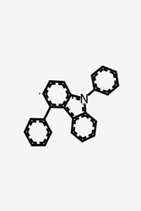 [c]1ccc2c(c1-c1ccccc1)c1ccccc1n2-c1ccccc1